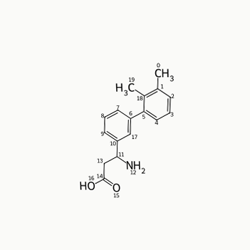 Cc1cccc(-c2cccc(C(N)CC(=O)O)c2)c1C